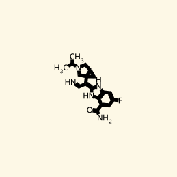 CC(C)N1CC2CC2(/C(C=N)=C2\Nc3cc(F)cc(C(N)=O)c3N2)C1